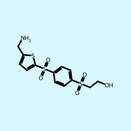 NCc1ccc(S(=O)(=O)c2ccc(S(=O)(=O)CCO)cc2)s1